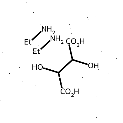 CCN.CCN.O=C(O)C(O)C(O)C(=O)O